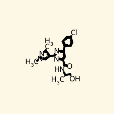 Cc1nn(C)cc1-c1nc(C(=O)N[C@@H](C)CO)cc(-c2ccc(Cl)cc2)n1